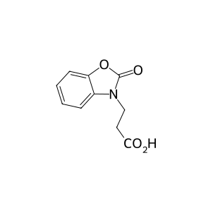 O=C(O)CCn1c(=O)oc2ccccc21